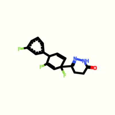 O=C1CCC(C2(F)C=CC(c3cccc(F)c3)C(F)=C2)=NN1